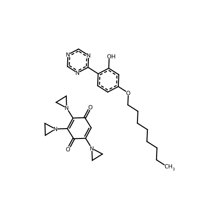 CCCCCCCCOc1ccc(-c2ncncn2)c(O)c1.O=C1C=C(N2CC2)C(=O)C(N2CC2)=C1N1CC1